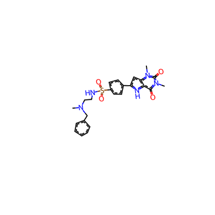 CN(CCNS(=O)(=O)c1ccc(-c2cc3c([nH]2)c(=O)n(C)c(=O)n3C)cc1)Cc1ccccc1